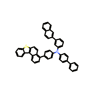 c1ccc(-c2ccc(N(c3ccc(-c4cccc5c4ccc4sc6ccccc6c45)cc3)c3cccc(-c4ccc5ccccc5c4)c3)cc2)cc1